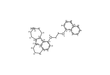 c1ccc2c(OCCOc3ccc4c5c3c3c(n5CCC4)CCNCC3)cccc2c1